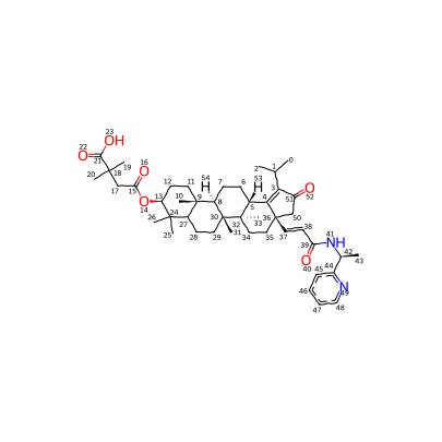 CC(C)C1=C2[C@H]3CC[C@@H]4[C@@]5(C)CC[C@H](OC(=O)CC(C)(C)C(=O)O)C(C)(C)C5CC[C@@]4(C)[C@]3(C)CC[C@@]2(/C=C/C(=O)N[C@@H](C)c2ccccn2)CC1=O